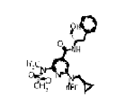 CCCN(CC1CC1)c1cc(C(=O)N[C@H](CO)Cc2ccccc2)cc(N(C)S(C)(=O)=O)n1